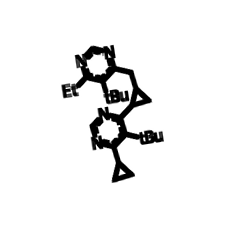 CCc1ncnc(CC2CC2c2ncnc(C3CC3)c2C(C)(C)C)c1C(C)(C)C